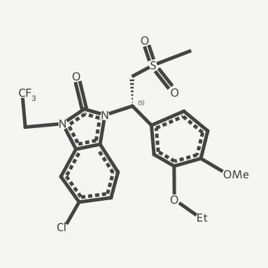 CCOc1cc([C@@H](CS(C)(=O)=O)n2c(=O)n(CC(F)(F)F)c3cc(Cl)ccc32)ccc1OC